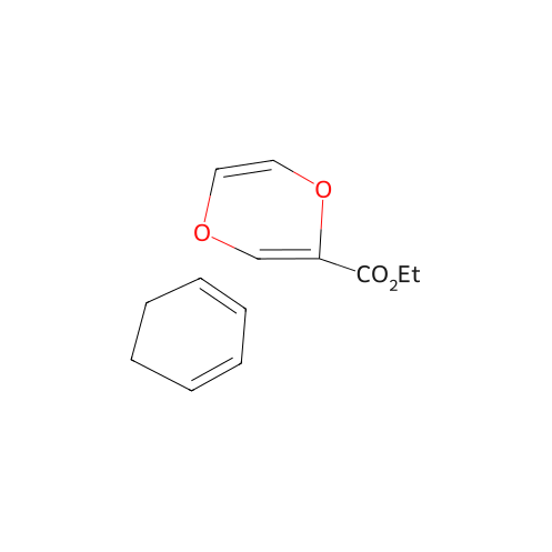 C1=CCCC=C1.CCOC(=O)C1=COC=CO1